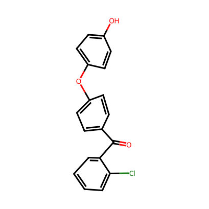 O=C(c1ccc(Oc2ccc(O)cc2)cc1)c1ccccc1Cl